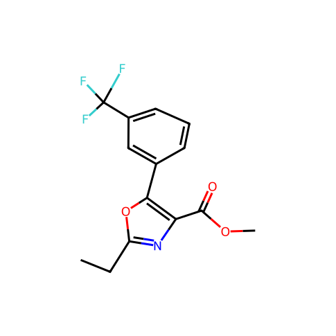 CCc1nc(C(=O)OC)c(-c2cccc(C(F)(F)F)c2)o1